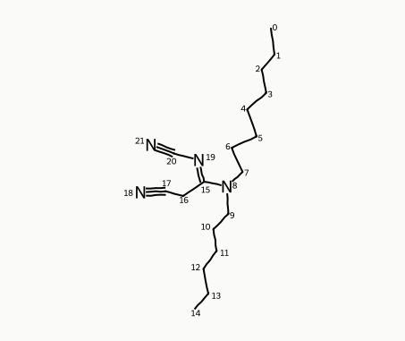 CCCCCCCCN(CCCCCC)C(CC#N)=NC#N